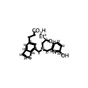 CC[C@@H]1CN(Cc2cc(CCC(=O)O)cc3ccsc23)Cc2nc(O)ccc2O1